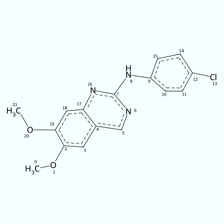 COc1cc2cnc(Nc3ccc(Cl)cc3)nc2cc1OC